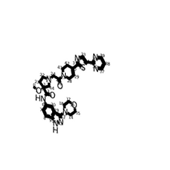 CO[C@@]1(C(=O)Nc2ccc3[nH]nc(N4CCOCC4)c3c2)CCN(CC(=O)N2CC=C(c3ncc(-c4ncccn4)s3)CC2)C1